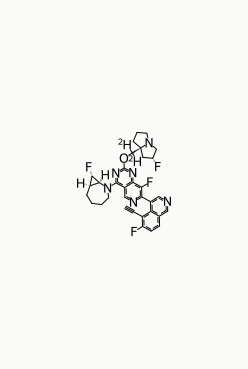 [2H]C([2H])(Oc1nc(N2CCCC[C@H]3[C@H](F)[C@H]32)c2cnc(-c3cncc4ccc(F)c(C#C)c34)c(F)c2n1)[C@@]12CCCN1C[C@H](F)C2